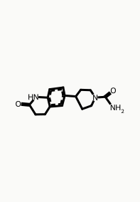 NC(=O)N1CCC(c2ccc3c(c2)CCC(=O)N3)CC1